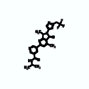 Cc1cc(-c2cncc(C(=O)NC(C)C)c2)nc2c1C(=O)N(c1cnn(CC(F)(F)F)c1)C2C